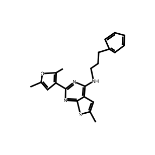 Cc1cc(-c2nc(NCCCc3ccccc3)c3cc(C)sc3n2)c(C)o1